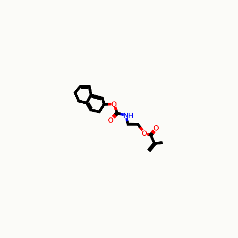 C=C(C)C(=O)OCCNC(=O)OC1C=C2C=CCCC2=CC1